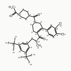 CC(=O)N1CCC(C(=O)N2CCC(C(=O)N(C)Cc3cc(C(F)(F)F)cc(C(F)(F)F)c3)=C(c3ccc(Cl)c(Cl)c3)C2)CC1